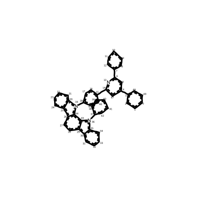 c1ccc(-c2cc(-c3ccccc3)nc(-c3ccc(-n4c5ccccc5c5ccc6c7ccccc7n(-c7ccccc7)c6c54)cc3)c2)cc1